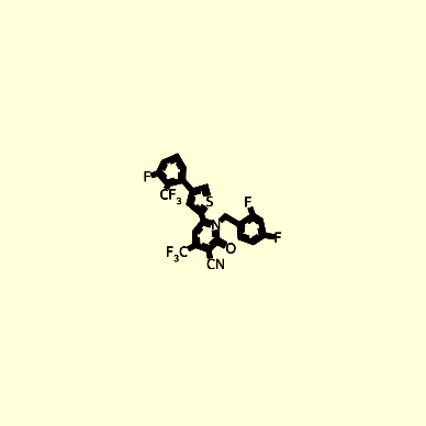 N#Cc1c(C(F)(F)F)cc(-c2cc(-c3cccc(F)c3C(F)(F)F)cs2)n(Cc2ccc(F)cc2F)c1=O